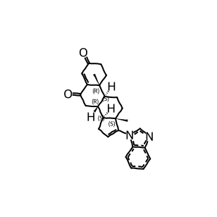 C[C@]12CCC(=O)C=C1C(=O)C[C@@H]1[C@@H]2CC[C@]2(C)C(n3cnc4ccccc43)=CC[C@@H]12